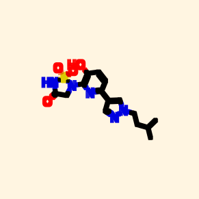 CC(C)CCn1cc(-c2ccc(O)c(N3CC(=O)NS3(=O)=O)n2)cn1